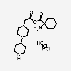 Cl.Cl.Cl.NC1(C(=O)OC(=O)CN2CCN(C3CCNCC3)CC2)CCCCC1